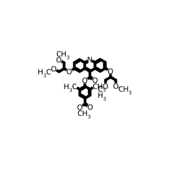 COCC(COC)Oc1ccc2nc3ccc(OC(COC)COC)cc3c(C(=O)Oc3c(C)cc(C(=O)OC)cc3C)c2c1